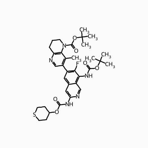 Cc1c(-c2cc3cc(NC(=O)OC4CCSCC4)ncc3c(NC(=O)OC(C)(C)C)c2F)cnc2c1N(C(=O)OC(C)(C)C)CCC2